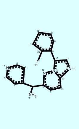 NC(c1ccncc1)c1ccc2ncc(-c3ccccc3F)n2n1